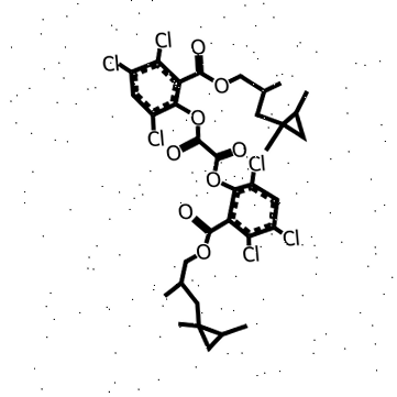 CC(COC(=O)c1c(Cl)c(Cl)cc(Cl)c1OC(=O)C(=O)Oc1c(Cl)cc(Cl)c(Cl)c1C(=O)OCC(C)CC1(C)CC1C)CC1(C)CC1C